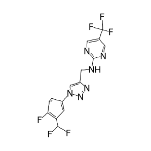 Fc1ccc(-n2cc(CNc3ncc(C(F)(F)F)cn3)nn2)cc1C(F)F